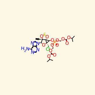 C#C[C@@]12OSO[C@@]13C(OP(=O)(OCOC(=O)OC(C)C)OCOC(=O)OC(C)C)[C@@]3(CCl)O[C@H]2n1cnc2c(N)ncnc21